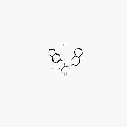 CC(O)C(NC1CCc2ccccc2C1)Oc1ccc2sccc2c1.Cl